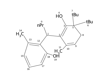 CCCC(C1=C(O)C(C(C)(C)C)(C(C)(C)C)CC=C1C)c1c(C)cccc1O